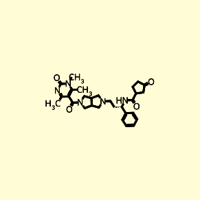 Cc1nc(=O)n(C)c(C)c1C(=O)N1CC2CN(CC[C@H](NC(=O)C3CCC(=O)C3)c3ccccc3)CC2C1